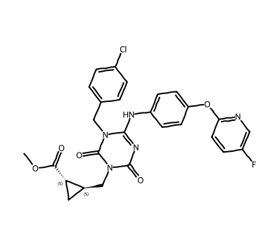 COC(=O)[C@H]1C[C@@H]1Cn1c(=O)nc(Nc2ccc(Oc3ccc(F)cn3)cc2)n(Cc2ccc(Cl)cc2)c1=O